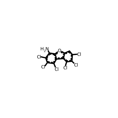 Nc1c(Cl)c(Cl)c(Cl)c2c1oc1cc(Cl)c(Cl)c(Cl)c12